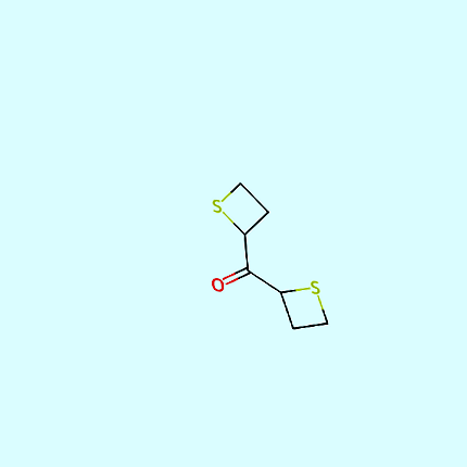 O=C(C1CCS1)C1CCS1